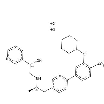 C[C@H](Cc1ccc(-c2ccc(C(=O)O)c(OC3CCCCC3)c2)cc1)NC[C@@H](O)c1cccnc1.Cl.Cl